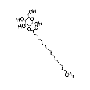 CCCCCCCCC=CCCCCCCCC(=O)O[C@@H]1[C@@H](O)[C@H](O)[C@@H](CO)O[C@@H]1O